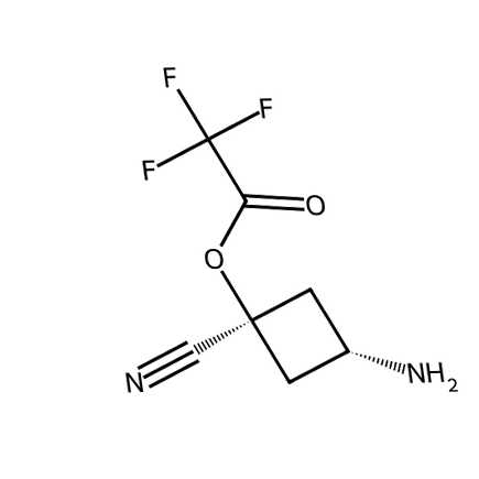 N#C[C@]1(OC(=O)C(F)(F)F)C[C@H](N)C1